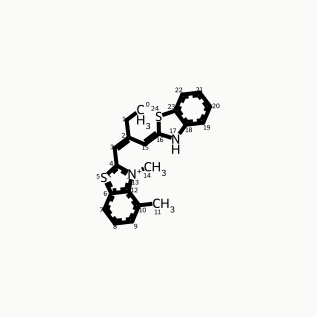 CCC(=Cc1sc2cccc(C)c2[n+]1C)C=C1Nc2ccccc2S1